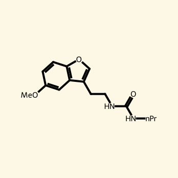 CCCNC(=O)NCCc1coc2ccc(OC)cc12